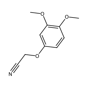 COc1ccc(OCC#N)cc1OC